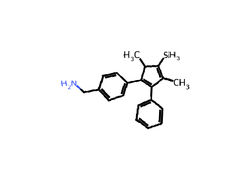 CC1=C([SiH3])C(C)C(c2ccc(CN)cc2)=C1c1ccccc1